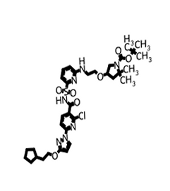 CC(C)(C)OC(=O)N1CC(OCCNc2cccc(S(=O)(=O)NC(=O)c3ccc(-n4ccc(OCCC5CCCC5)n4)nc3Cl)n2)CC1(C)C